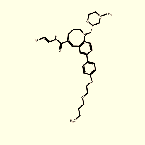 C/C=C/NC(=O)/C1=C/c2cc(-c3ccc(OCCOCCCC)cc3)ccc2N(C[C@H]2CN(C)CCO2)CCC1